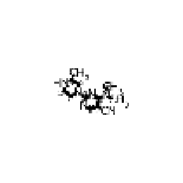 C[C@@H]1CN(c2ncc(C#N)c(N(C)C)n2)CCN1